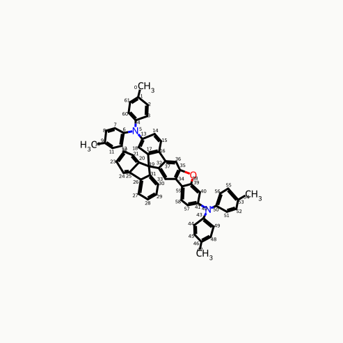 Cc1ccc(N(c2ccc(C)cc2)c2ccc3c(c2)C2(c4ccccc4-c4ccccc42)c2cc4c(cc2-3)oc2cc(N(c3ccc(C)cc3)c3ccc(C)cc3)ccc24)cc1